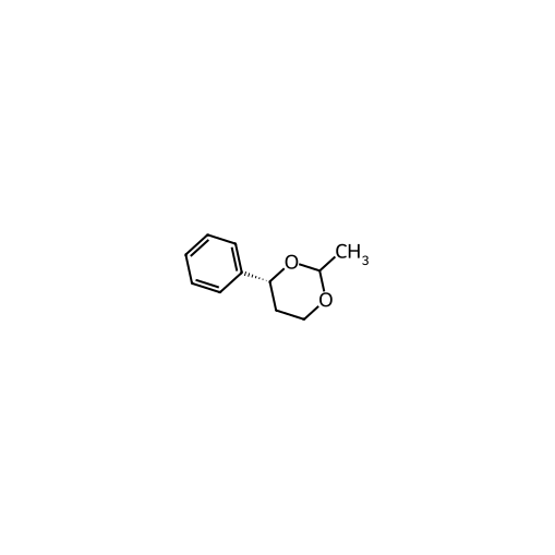 CC1OCC[C@H](c2ccccc2)O1